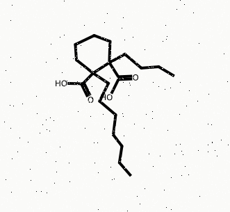 CCCCCCCC1(C(=O)O)CCCCC1(CCCC)C(=O)O